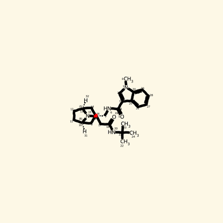 Cn1cc(C(=O)NC[C@@H]2C[C@H]3CC[C@@H](C2)N3CCC(=O)NC(C)(C)C)c2ccccc21